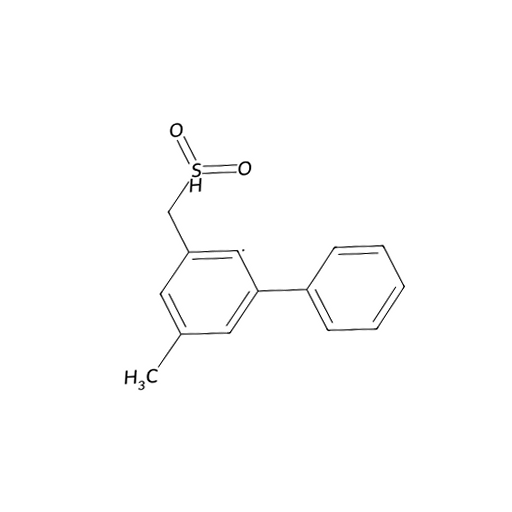 Cc1cc(C[SH](=O)=O)[c]c(-c2ccccc2)c1